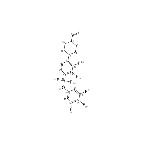 C=CC1CCC(c2ccc(C(F)(F)Oc3cc(F)c(F)c(F)c3)c(F)c2F)CC1